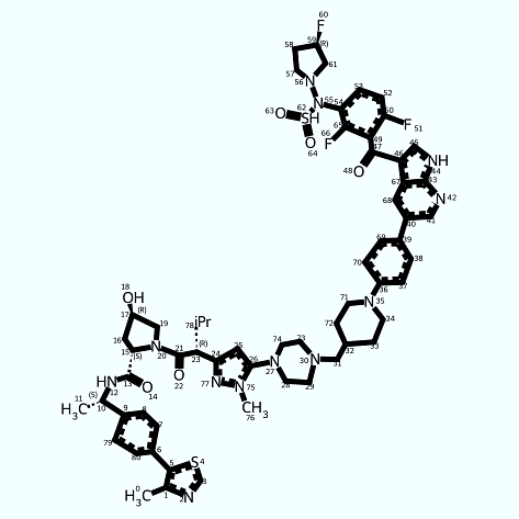 Cc1ncsc1-c1ccc([C@H](C)NC(=O)[C@@H]2C[C@@H](O)CN2C(=O)[C@@H](c2cc(N3CCN(CC4CCN(c5ccc(-c6cnc7[nH]cc(C(=O)c8c(F)ccc(N(N9CC[C@@H](F)C9)[SH](=O)=O)c8F)c7c6)cc5)CC4)CC3)n(C)n2)C(C)C)cc1